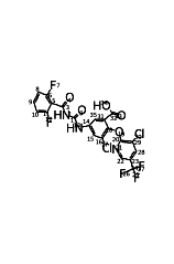 O=C(NC(=O)c1c(F)cccc1F)Nc1cc(Cl)c(Oc2ncc(C(F)(F)F)cc2Cl)c(C(=O)O)c1